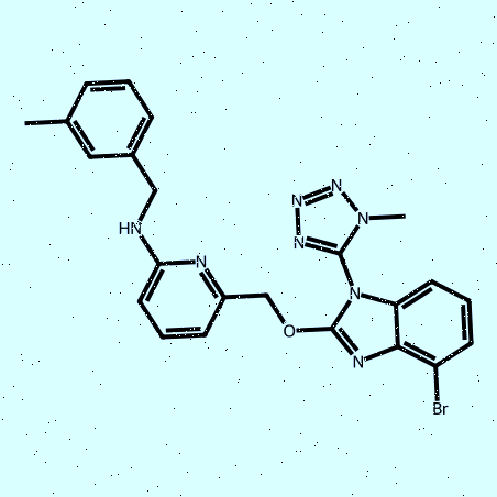 Cc1cccc(CNc2cccc(COc3nc4c(Br)cccc4n3-c3nnnn3C)n2)c1